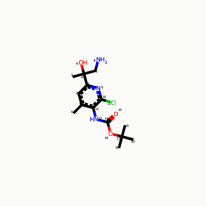 Cc1cc(C(C)(O)CN)nc(Cl)c1NC(=O)OC(C)(C)C